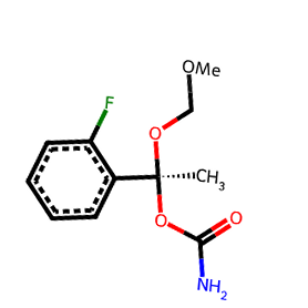 COCO[C@@](C)(OC(N)=O)c1ccccc1F